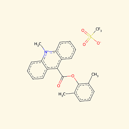 Cc1cccc(C)c1OC(=O)c1c2ccccc2[n+](C)c2ccccc12.O=S(=O)([O-])C(F)(F)F